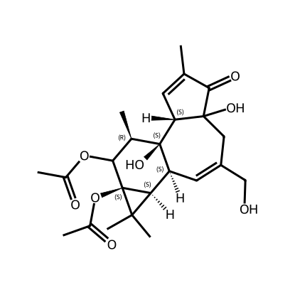 CC(=O)OC1[C@@H](C)[C@]2(O)[C@@H]3C=C(C)C(=O)C3(O)CC(CO)=C[C@H]2[C@H]2C(C)(C)[C@]12OC(C)=O